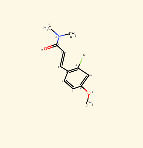 COc1ccc(C=CC(=O)N(C)C)c(F)c1